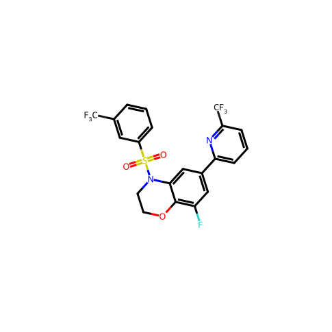 O=S(=O)(c1cccc(C(F)(F)F)c1)N1CCOc2c(F)cc(-c3cccc(C(F)(F)F)n3)cc21